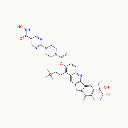 CC[C@@]1(O)C(=O)CCc2c1cc1n(c2=O)Cc2cc3c(CC[Si](C)(C)C)c(OC(=O)N4CCN(c5ncc(C(=O)NO)cn5)CC4)ccc3nc2-1